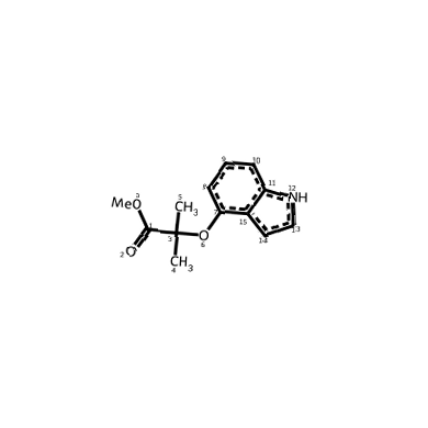 COC(=O)C(C)(C)Oc1cccc2[nH]ccc12